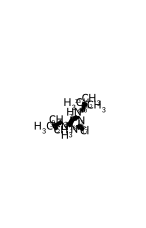 CC(C)(C)CNc1cc(NCC(C)(C)C)nc(Cl)n1